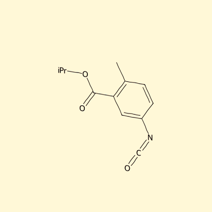 Cc1ccc(N=C=O)cc1C(=O)OC(C)C